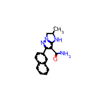 CC1Cn2nc(-c3ccc4ccccc4c3)c(C(N)=O)c2N1